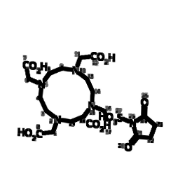 O=C(O)CN1CCN(CC(=O)O)CCN(CC(=O)O)CCN(CC(=O)O)CC1.O=C1CCC(=O)N1S(=O)(=O)O